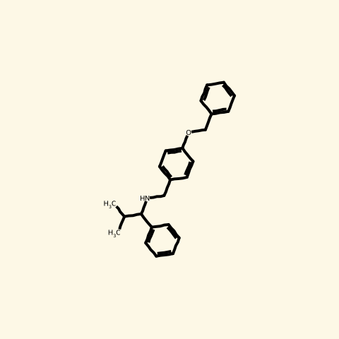 CC(C)C(NCc1ccc(OCc2ccccc2)cc1)c1ccccc1